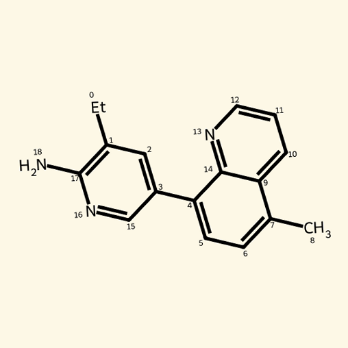 CCc1cc(-c2ccc(C)c3cccnc23)cnc1N